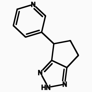 c1cncc(C2CCc3n[nH]nc32)c1